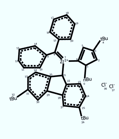 CCCCC1C=C(C(C)(C)C)C=[C]1[Zr+2](=[C](c1ccccc1)c1ccccc1)[CH]1c2ccc(C(C)(C)C)cc2-c2cc(C(C)(C)C)ccc21.[Cl-].[Cl-]